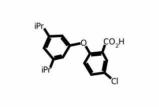 CC(C)c1cc(Oc2ccc(Cl)cc2C(=O)O)cc(C(C)C)c1